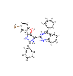 Brc1ccc2oc3c(-c4nc(-c5ccccc5)c5ccccc5n4)nc(-c4ccccc4)nc3c2c1